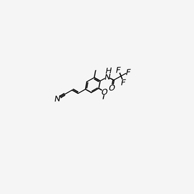 COc1cc(/C=C/C#N)cc(C)c1NC(=O)C(F)(F)F